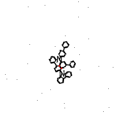 c1ccc(-c2ccc(N(c3cccc(-c4ccccc4)c3)c3ccccc3-c3ccc(-n4c5ccccc5c5ccccc54)cc3)cc2)cc1